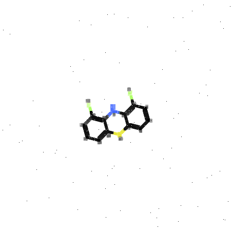 Fc1cccc2c1Nc1c(F)cccc1S2